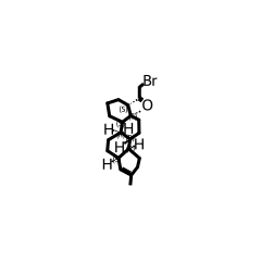 CC1=C[C@H]2CC[C@@H]3[C@H](CC[C@]4(C)[C@@H](C(=O)CBr)CCC[C@@H]34)[C@H]2CC1